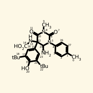 Cc1ccc(N2C(=O)N(C)C(=O)C(NC(=O)O)(c3cc(C(C)(C)C)c(O)c(C(C)(C)C)c3)C2N)cc1